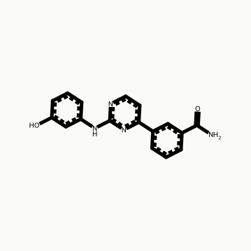 NC(=O)c1cccc(-c2ccnc(Nc3cccc(O)c3)n2)c1